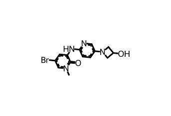 Cn1cc(Br)cc(Nc2ccc(N3CC(O)C3)cn2)c1=O